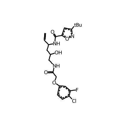 C=CC(CC(O)CNC(=O)COc1ccc(Cl)c(F)c1)NC(=O)c1cc(C(C)(C)C)no1